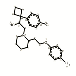 O[C@H](CN1CCCCC1CCOc1ccc(C(F)(F)F)cc1)C1(c2ccc(Cl)cc2)CCC1